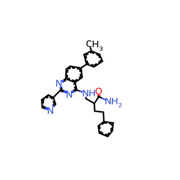 Cc1cccc(-c2ccc3nc(-c4cccnc4)nc(NCC(CCc4ccccc4)C(N)=O)c3c2)c1